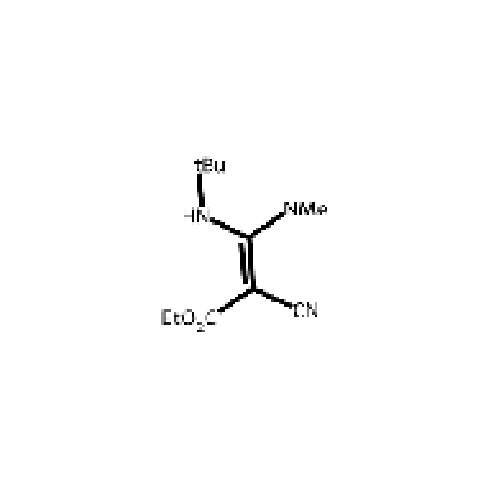 CCOC(=O)C(C#N)=C(NC)NC(C)(C)C